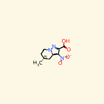 C[C@@H]1CCn2nc(C(=O)O)c([N+](=O)[O-])c2C1